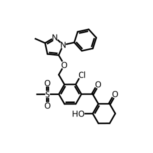 Cc1cc(OCc2c(S(C)(=O)=O)ccc(C(=O)C3=C(O)CCCC3=O)c2Cl)n(-c2ccccc2)n1